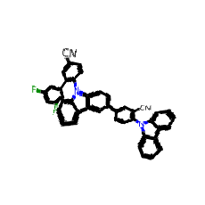 N#Cc1ccc(-n2c3ccccc3c3cc(-c4ccc(-n5c6ccccc6c6ccccc65)c(C#N)c4)ccc32)c(-c2cc(F)cc(F)c2)c1